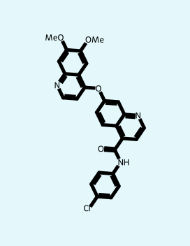 COc1cc2nccc(Oc3ccc4c(C(=O)Nc5ccc(Cl)cc5)ccnc4c3)c2cc1OC